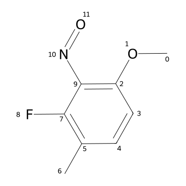 COc1ccc(C)c(F)c1N=O